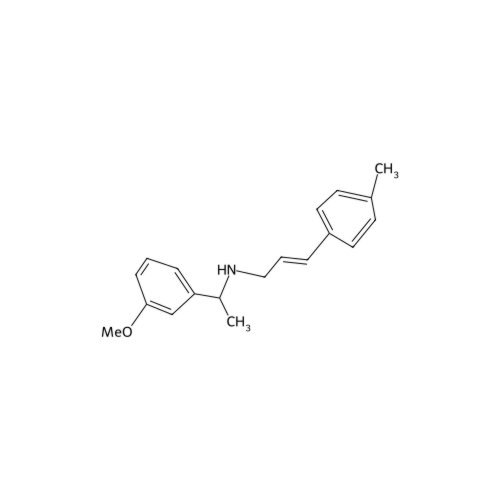 COc1cccc(C(C)NCC=Cc2ccc(C)cc2)c1